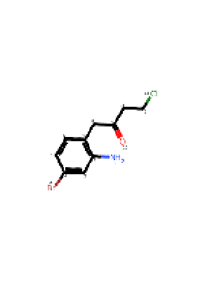 Nc1cc(Br)ccc1CC(=O)CCCl